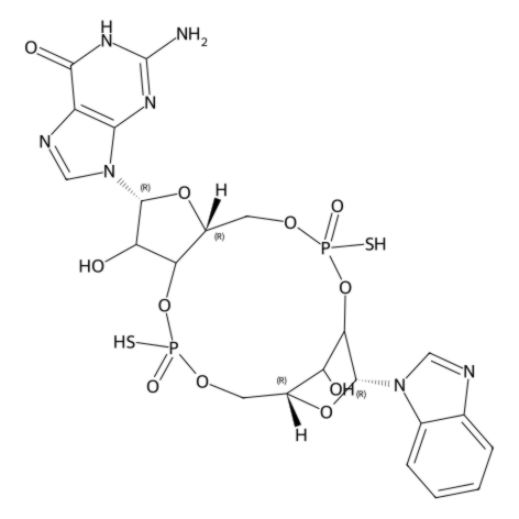 Nc1nc2c(ncn2[C@@H]2O[C@@H]3COP(=O)(S)OC4C(O)[C@@H](COP(=O)(S)OC3C2O)O[C@H]4n2cnc3ccccc32)c(=O)[nH]1